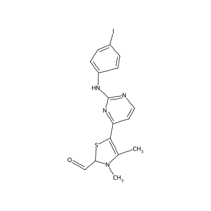 CC1=C(c2ccnc(Nc3ccc(I)cc3)n2)SC(C=O)N1C